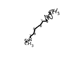 CON=CCCCCC=NOC